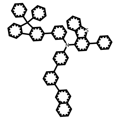 c1ccc(-c2ccc(N(c3ccc(-c4cccc(-c5ccc6ccccc6c5)c4)cc3)c3cccc(-c4ccc5c(c4)C(c4ccccc4)(c4ccccc4)c4ccccc4-5)c3)c3c2sc2ccccc23)cc1